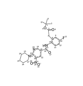 CC(C)(C)OC(=O)Cc1cc(F)ccc1NC(=O)c1cnc(N2CCCCC2)c([N+](=O)[O-])c1